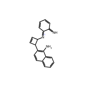 N=C1C=CC=C/C1=N\C1C=CC1c1ccc2ccccc2c1N